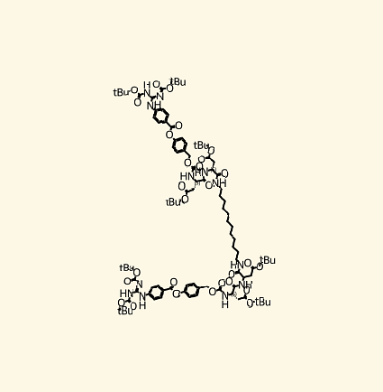 CC(C)(C)OC(=O)CC(NC(=O)[C@H](CC(=O)OC(C)(C)C)NC(=O)OCc1ccc(OC(=O)c2ccc(NC(=NC(=O)OC(C)(C)C)NC(=O)OC(C)(C)C)cc2)cc1)C(=O)NCCCCCCCCCCCCNC(=O)[C@H](CC(=O)OC(C)(C)C)NC(=O)[C@H](CC(=O)OC(C)(C)C)NC(=O)OCc1ccc(OC(=O)c2ccc(NC(=NC(=O)OC(C)(C)C)NC(=O)OC(C)(C)C)cc2)cc1